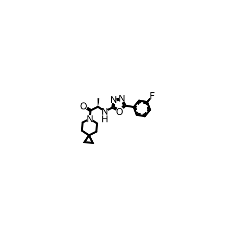 C[C@@H](Nc1nnc(-c2cccc(F)c2)o1)C(=O)N1CCC2(CC1)CC2